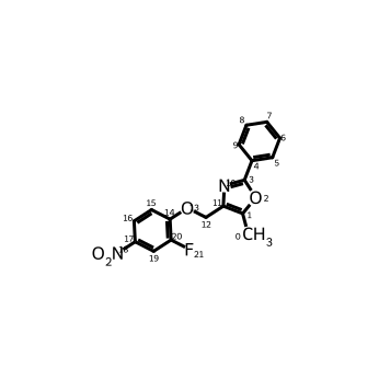 Cc1oc(-c2ccccc2)nc1COc1ccc([N+](=O)[O-])cc1F